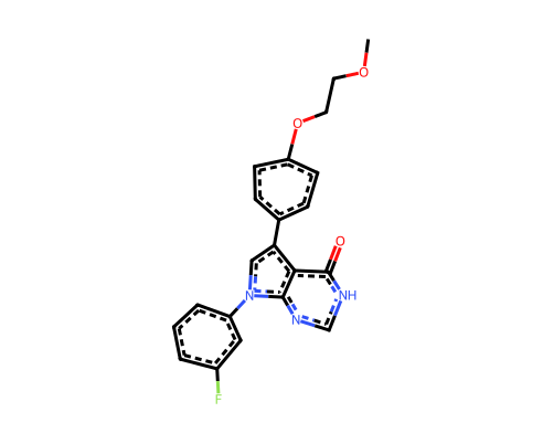 COCCOc1ccc(-c2cn(-c3cccc(F)c3)c3nc[nH]c(=O)c23)cc1